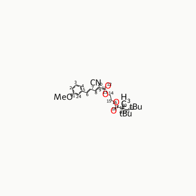 COc1cccc(/C=C/C=C(\C#N)C(=O)OCCOC(=O)C(C)(CC(C)(C)C)C(C)(C)C)c1